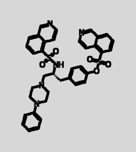 O=S(=O)(N[C@H](Cc1ccc(OS(=O)(=O)c2cccc3cnccc23)cc1)CN1CCN(c2ccccc2)CC1)c1cccc2cnccc12